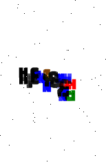 CN(C)/C=N/c1sc2c(c1C#N)[C@]1(CCC/C(=C(/O)c3ccnc(Cl)n3)C1=N)CCC2